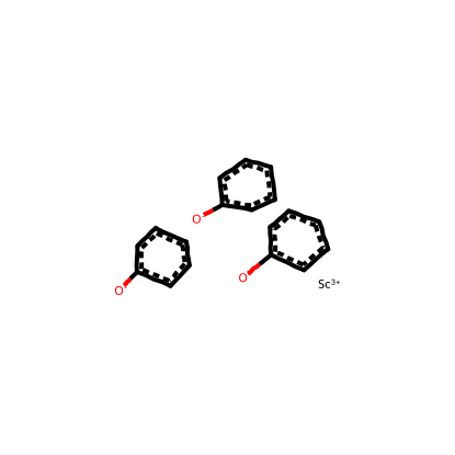 [O-]c1ccccc1.[O-]c1ccccc1.[O-]c1ccccc1.[Sc+3]